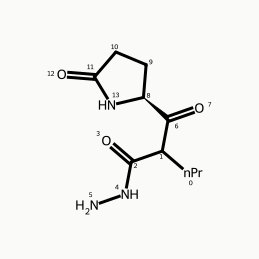 CCCC(C(=O)NN)C(=O)[C@@H]1CCC(=O)N1